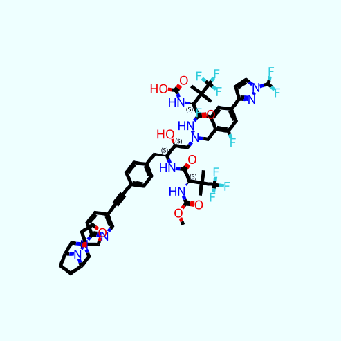 COC(=O)N[C@H](C(=O)N[C@@H](Cc1ccc(C#Cc2ccc(N3CC4CCC(C3)N4[C@H]3CCOC3)nc2)cc1)[C@@H](O)CN(Cc1c(F)cc(-c2ccn(C(F)F)n2)cc1F)NC(=O)[C@@H](NC(=O)O)C(C)(C)C(F)(F)F)C(C)(C)C(F)(F)F